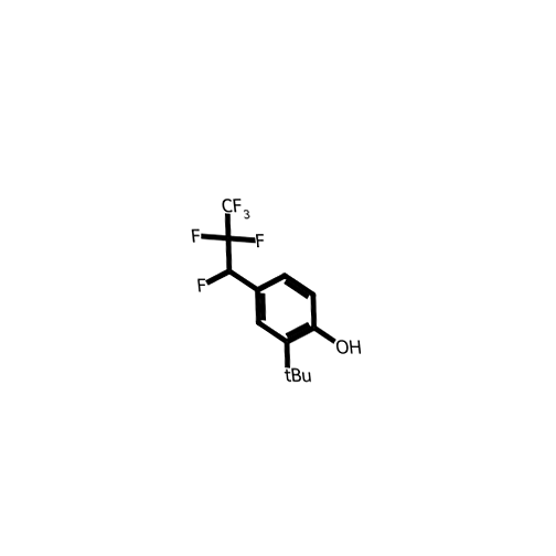 CC(C)(C)c1cc(C(F)C(F)(F)C(F)(F)F)ccc1O